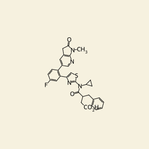 CN1C(=O)Cc2cc(-c3ccc(F)cc3-c3csc(N(C(=O)C(CC(=O)O)Cc4ccccc4)C4CC4)n3)cnc21